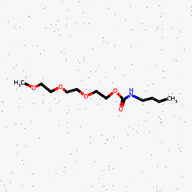 CCCCNC(=O)OCCOCCOCCOC